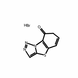 Br.O=C1CC=Cc2sc3cnnn3c21